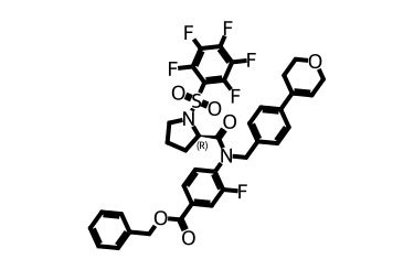 O=C(OCc1ccccc1)c1ccc(N(Cc2ccc(C3=CCOCC3)cc2)C(=O)[C@H]2CCCN2S(=O)(=O)c2c(F)c(F)c(F)c(F)c2F)c(F)c1